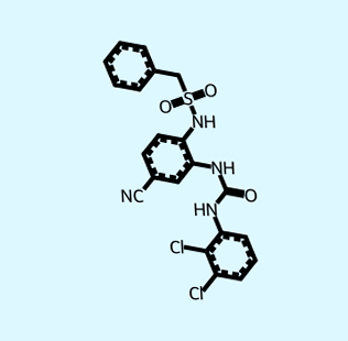 N#Cc1ccc(NS(=O)(=O)Cc2ccccc2)c(NC(=O)Nc2cccc(Cl)c2Cl)c1